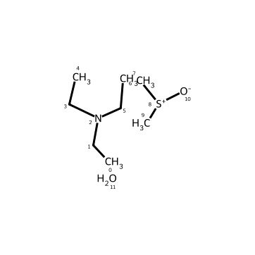 CCN(CC)CC.C[S+](C)[O-].O